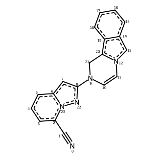 N#Cc1cccc2cc(N3C=Cn4cc5ccccc5c4C3)nn12